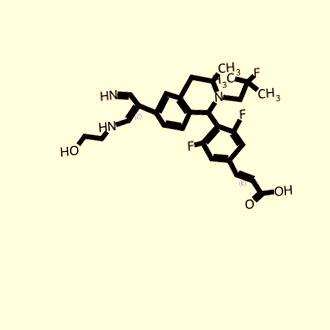 CC1Cc2cc(/C(C=N)=C/NCCO)ccc2C(c2c(F)cc(/C=C/C(=O)O)cc2F)N1CC(C)(C)F